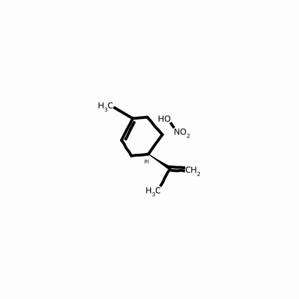 C=C(C)[C@H]1CC=C(C)CC1.O=[N+]([O-])O